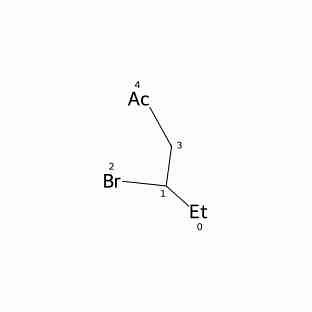 CCC(Br)CC(C)=O